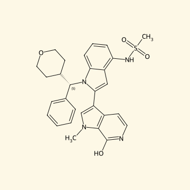 Cn1cc(-c2cc3c(NS(C)(=O)=O)cccc3n2[C@H](c2ccccc2)C2CCOCC2)c2ccnc(O)c21